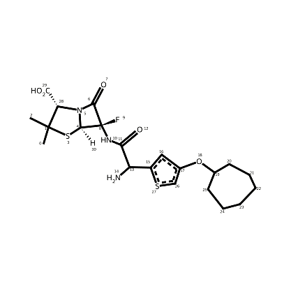 CC1(C)S[C@H]2N(C(=O)[C@]2(F)NC(=O)C(N)c2cc(OC3CCCCCC3)cs2)[C@H]1C(=O)O